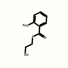 CC(=O)Oc1ccccc1C(=O)SCCO